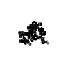 CCOC(=O)/C(Cl)=C/c1cc(N2C(=O)C3=C(CCCC3)C2=O)ccc1Cl.CP(=O)(O)CCC(N)C(=O)O.CS(=O)(=O)c1ccc(C(=O)C2C(=O)CCCC2=O)c([N+](=O)[O-])c1